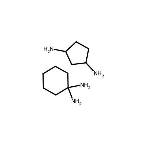 NC1(N)CCCCC1.NC1CCC(N)C1